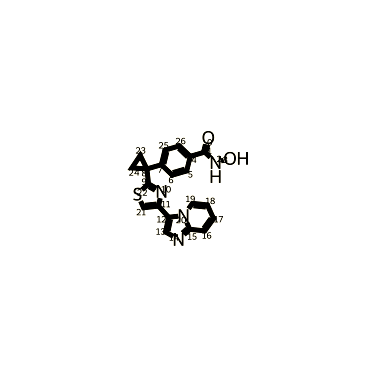 O=C(NO)c1ccc(C2(c3nc(-c4cnc5ccccn45)cs3)CC2)cc1